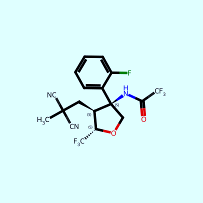 CC(C#N)(C#N)C[C@@H]1[C@@H](C(F)(F)F)OC[C@@]1(NC(=O)C(F)(F)F)c1ccccc1F